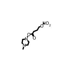 CN1CCN(OC(=O)CCCO[N+](=O)[O-])CC1